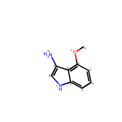 COc1cccc2[nH]cc(N)c12